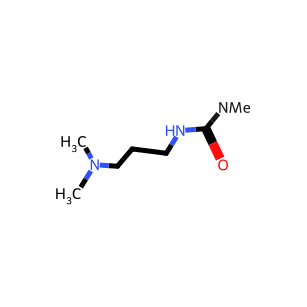 CNC(=O)NCCCN(C)C